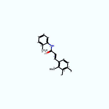 COc1c(/C=C/C(=O)Nc2ccccc2C(=O)O)ccc(C)c1C